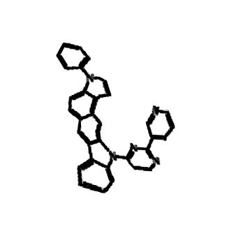 c1ccc(-n2ccc3c4cc5c(cc4ccc32)c2ccccc2n5-c2ccnc(-c3cccnc3)n2)cc1